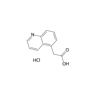 Cl.O=C(O)Cc1cccc2ncccc12